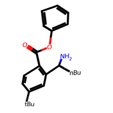 CCCCC(N)c1cc(C(C)(C)C)ccc1C(=O)Oc1ccccc1